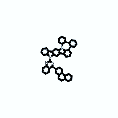 c1ccc2c(c1)-c1ccccc1-n1c3cc4c5ccccc5n(-c5nc(-c6ccc7c(ccc8ccccc87)c6)c6ccccc6n5)c4cc3c3cccc-2c31